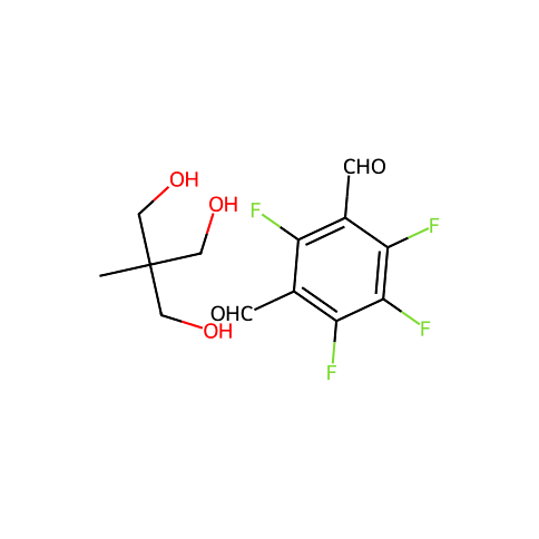 CC(CO)(CO)CO.O=Cc1c(F)c(F)c(F)c(C=O)c1F